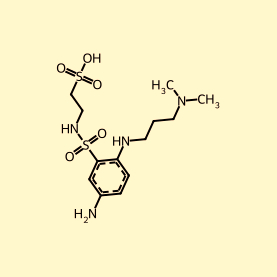 CN(C)CCCNc1ccc(N)cc1S(=O)(=O)NCCS(=O)(=O)O